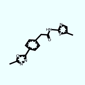 Cc1nnc(-c2ccc(CC(=O)Nc3ncc(C)s3)cc2)o1